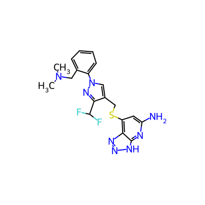 CN(C)Cc1ccccc1-n1cc(CSc2cc(N)nc3[nH]nnc23)c(C(F)F)n1